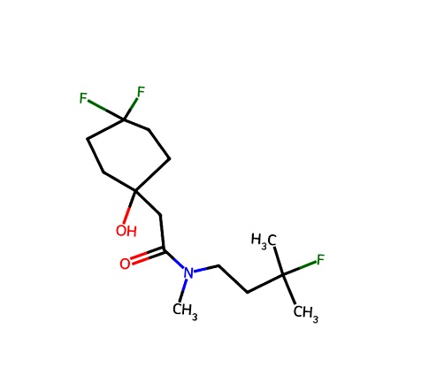 CN(CCC(C)(C)F)C(=O)CC1(O)CCC(F)(F)CC1